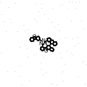 c1ccc(-c2nc(-c3ccc4oc5ccccc5c4c3)nc(-c3cccc4oc5c6ccccc6c(-c6cccc7ccccc67)cc5c34)n2)cc1